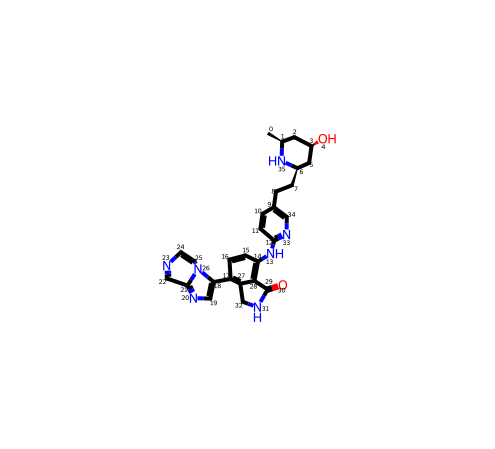 C[C@H]1C[C@@H](O)C[C@@H](CCc2ccc(Nc3ccc(-c4cnc5cnccn45)c4c3C(=O)NC4)nc2)N1